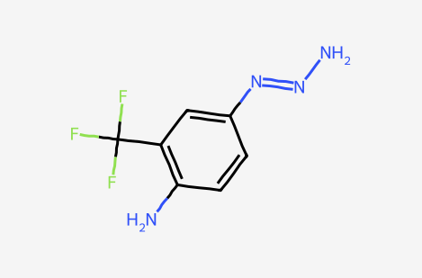 NN=Nc1ccc(N)c(C(F)(F)F)c1